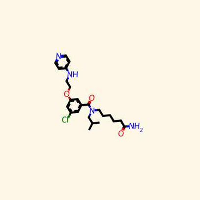 CC(C)CN(CCCCCC(N)=O)C(=O)c1cc(Cl)cc(OCCNc2ccncc2)c1